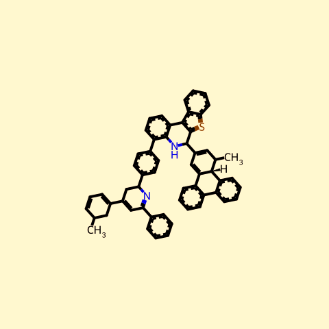 CC1C=CC=C(C2=CC(c3ccccc3)=NC(c3ccc(-c4cccc5c4NC(C4=CC(C)[C@H]6C(=C4)c4ccccc4-c4ccccc46)c4sc6ccccc6c4-5)cc3)C2)C1